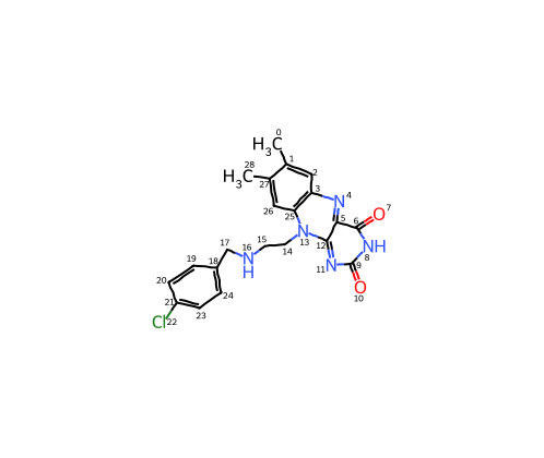 Cc1cc2nc3c(=O)[nH]c(=O)nc-3n(CCNCc3ccc(Cl)cc3)c2cc1C